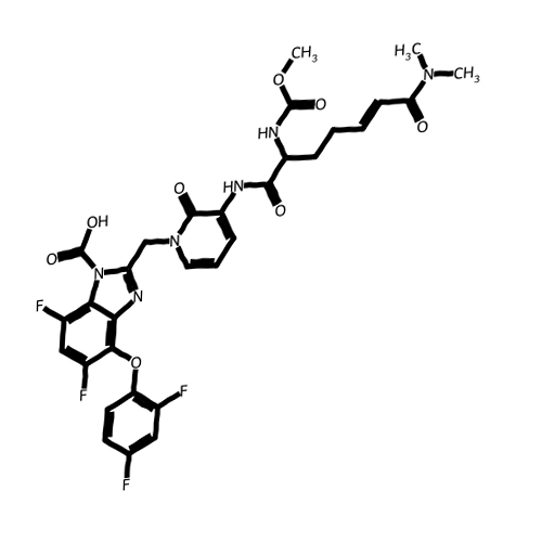 COC(=O)NC(CC/C=C/C(=O)N(C)C)C(=O)Nc1cccn(Cc2nc3c(Oc4ccc(F)cc4F)c(F)cc(F)c3n2C(=O)O)c1=O